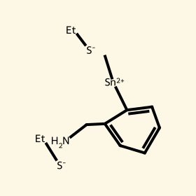 CC[S-].CC[S-].[CH3][Sn+2][c]1ccccc1CN